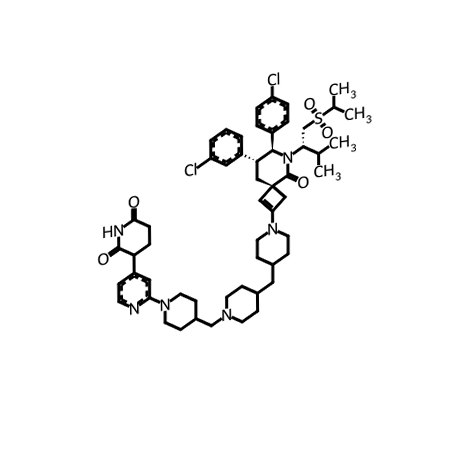 CC(C)[C@@H](CS(=O)(=O)C(C)C)N1C(=O)[C@]2(C=C(N3CCC(CC4CCN(CC5CCN(c6cc(C7CCC(=O)NC7=O)ccn6)CC5)CC4)CC3)C2)C[C@H](c2cccc(Cl)c2)[C@H]1c1ccc(Cl)cc1